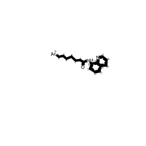 CC(=O)CCCCCCC(=O)Nc1cccc2cccnc12